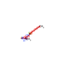 CCOCCOCCOCCOCCOCCOCCC(=O)Oc1c(F)cc(CNC(=O)CCCNC(=O)c2cc(NC(=O)c3cn4ccsc4n3)ccc2OC)cc1F